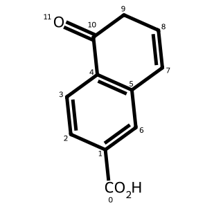 O=C(O)c1ccc2c(c1)C=CCC2=O